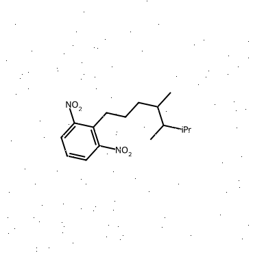 CC(C)C(C)C(C)CCCc1c([N+](=O)[O-])cccc1[N+](=O)[O-]